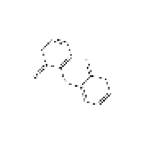 O=C1CC=CC=C1OC1=CC=CCC1=O